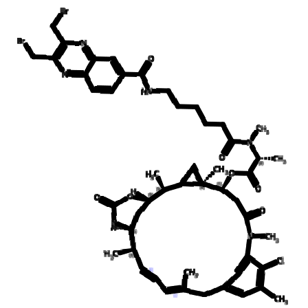 C/C1=C\C=C\[C@@H](C)[C@@]2(O)C[C@H](OC(=O)N2)[C@@H](C)C2C[C@@]2(C)[C@@H](OC(=O)[C@@H](C)N(C)C(=O)CCCCCNC(=O)c2ccc3nc(CBr)c(CBr)nc3c2)CC(=O)N(C)c2cc(cc(C)c2Cl)C1